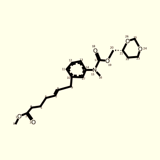 COC(=O)CCCC=CCc1cccc(N(C)C(=O)OC[C@H]2CCOCO2)c1